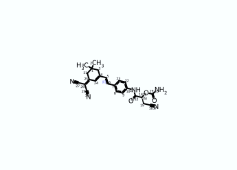 CC1(C)CC(/C=C/c2ccc(NC(=O)[C@H](CC#N)OC(N)=O)cc2)=CC(=C(C#N)C#N)C1